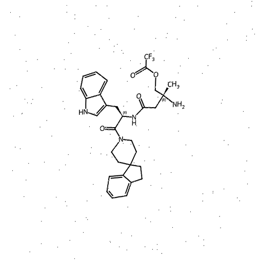 C[C@](N)(COC(=O)C(F)(F)F)CC(=O)N[C@H](Cc1c[nH]c2ccccc12)C(=O)N1CCC2(CCc3ccccc32)CC1